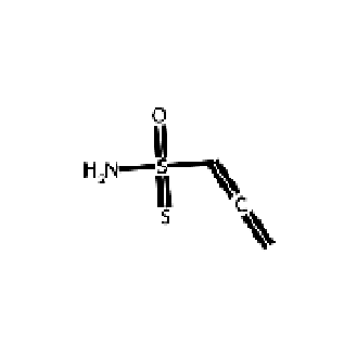 C=C=CS(N)(=O)=S